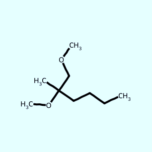 CCCCC(C)(COC)OC